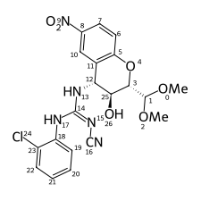 COC(OC)[C@H]1Oc2ccc([N+](=O)[O-])cc2[C@@H](NC(=NC#N)Nc2ccccc2Cl)[C@@H]1O